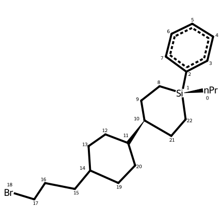 CCC[Si@]1(c2ccccc2)CC[C@H](C2CCC(CCCBr)CC2)CC1